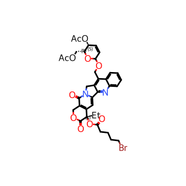 CC[C@@]1(OC(=O)CCCCBr)C(=O)OCc2c1cc1n(c2=O)Cc2c-1nc1ccccc1c2COC1C=C[C@H](OC(C)=O)[C@@H](COC(C)=O)O1